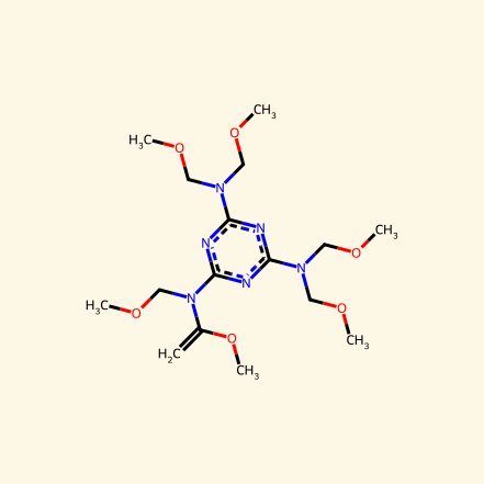 C=C(OC)N(COC)c1nc(N(COC)COC)nc(N(COC)COC)n1